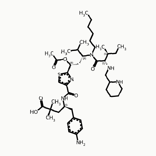 CCCCCCN(C(=O)[C@@H](NCC1CCCCN1)[C@@H](C)CC)[C@H](C[C@@H](OC(C)=O)c1nc(C(=O)N[C@@H](Cc2ccc(N)cc2)CC(C)(C)C(=O)O)cs1)C(C)C